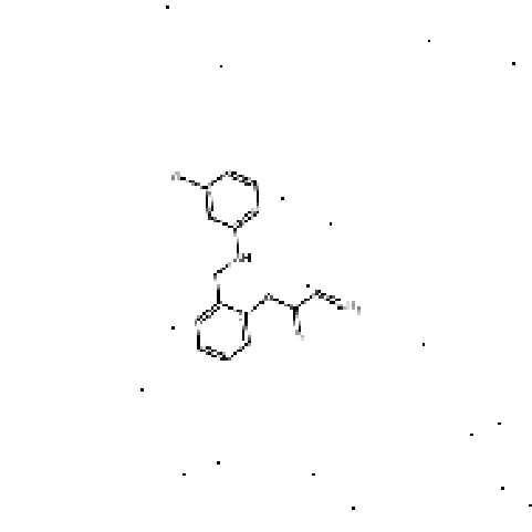 C=CC(=O)Oc1ccccc1CNc1cccc(Cl)c1